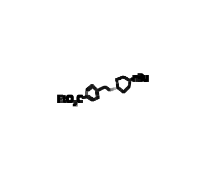 CCCC[C@H]1CC[C@H](CCc2ccc(C(=O)OCC)cc2)CC1